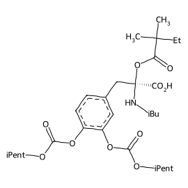 CCCC(C)OC(=O)Oc1ccc(C[C@](NC(C)CC)(OC(=O)C(C)(C)CC)C(=O)O)cc1OC(=O)OC(C)CCC